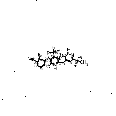 COC1NN=C(C(C)(F)F)C=C1Cc1nc(C(F)(F)F)c(Oc2cccc(C#N)c2F)c(=O)[nH]1